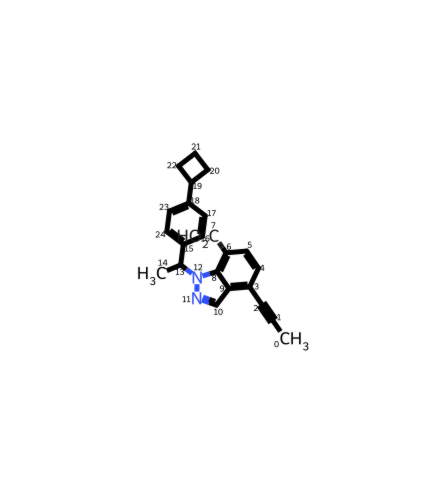 CC#Cc1ccc(C(=O)O)c2c1cnn2C(C)c1ccc(C2CCC2)cc1